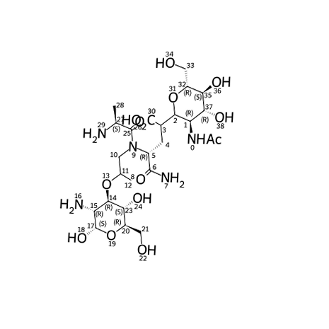 CC(=O)N[C@H]1C(C(C[C@H](C(N)=O)N(CC(C)O[C@@H]2[C@@H](N)[C@@H](O)O[C@H](CO)[C@H]2O)C(=O)[C@H](C)N)C(=O)O)O[C@H](CO)[C@@H](O)[C@@H]1O